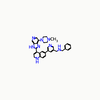 CN1CCN(c2cncc3[nH]c(C4=CCNc5ccc(-c6cncc(CNCc7ccccc7)c6)cc54)nc23)CC1